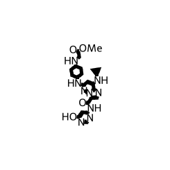 COC(=O)CNC1CCC(Nc2cc(NC3CC3)c3ncc(C(=O)Nc4cc(O)ncn4)n3n2)CC1